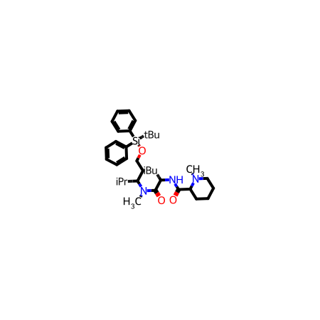 CCC(C)C(NC(=O)C1CCCCN1C)C(=O)N(C)C(CCO[Si](c1ccccc1)(c1ccccc1)C(C)(C)C)C(C)C